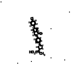 CN(C(=O)O)C1CCN(c2ccc(N3CC4=CC(c5ccc(Cl)cc5)N=C4C3=O)cn2)C1